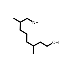 CC(C[NH])CCCC(C)CCO